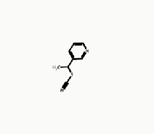 CC(SC#N)c1cccnc1